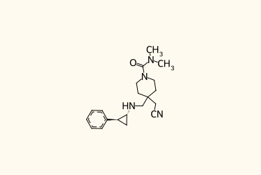 CN(C)C(=O)N1CCC(CC#N)(CN[C@@H]2C[C@H]2c2ccccc2)CC1